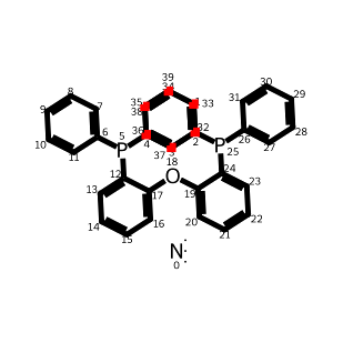 [N].c1ccc(P(c2ccccc2)c2ccccc2Oc2ccccc2P(c2ccccc2)c2ccccc2)cc1